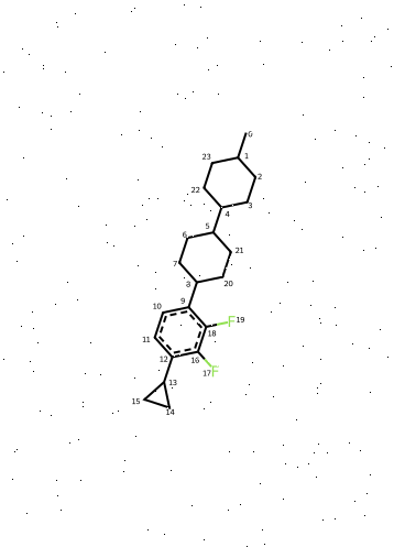 CC1CCC(C2CCC(c3ccc(C4CC4)c(F)c3F)CC2)CC1